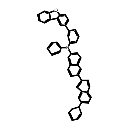 C1=CCC(c2ccc3ccc(-c4ccc5cc(N(c6ccccc6)c6cccc(-c7ccc8oc9ccccc9c8c7)c6)ccc5c4)cc3c2)C=C1